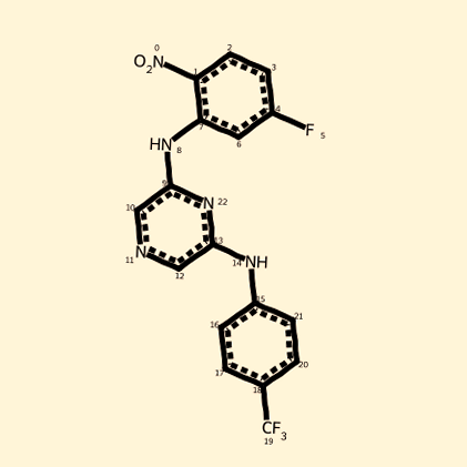 O=[N+]([O-])c1ccc(F)cc1Nc1cncc(Nc2ccc(C(F)(F)F)cc2)n1